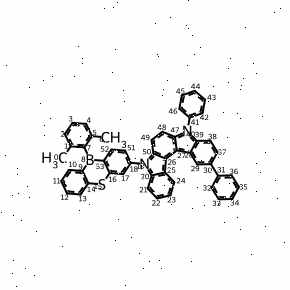 Cc1cccc(C)c1B1c2ccccc2Sc2cc(-n3c4ccccc4c4c5c6cc(-c7ccccc7)ccc6n(-c6ccccc6)c5ccc43)ccc21